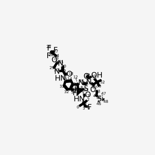 CC(C)(CF)NC(=O)[C@]12C[C@H]1[C@@](C)(c1cc(NC(=O)c3cnc(OCC(F)(F)F)cn3)ccc1F)N=C(N(C(=O)O)C(OCC[Si](C)(C)C)C(C)(C)C)S2